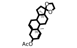 CC(=O)OC1C=C[C@@]2(C)C(=CCC3C2CC[C@@]2(C)C3CCC23OCCO3)C1